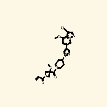 C=CC(=O)N1CC(OC)(C(=O)N2CCC(n3cc(-c4cc(OC)c5c(Cl)cnn5c4)cn3)CC2)C1